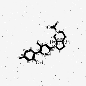 CC(=O)N1CC[C@H]2CCN(c3cc(C)c(-c4ccc(C)cc4O)nn3)[C@H]2C1